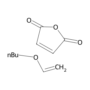 C=COCCCC.O=C1C=CC(=O)O1